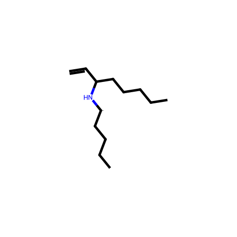 C=CC(CCCCC)N[CH]CCCC